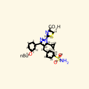 CCCCOc1cccc(-c2nn(-c3nc(C(=O)O)cs3)c(C3CC3)c2Cc2ccc(S(N)(=O)=O)cc2)c1